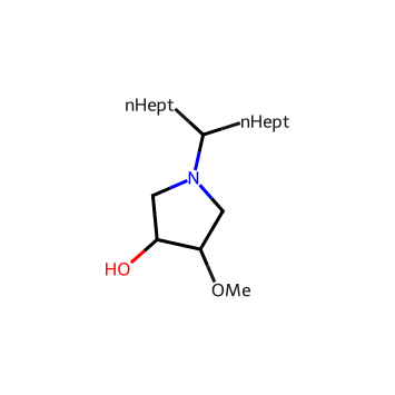 CCCCCCCC(CCCCCCC)N1CC(O)C(OC)C1